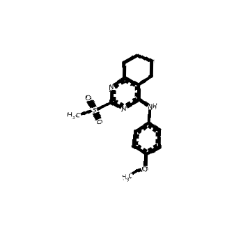 COc1ccc(Nc2nc(S(C)(=O)=O)nc3c2CCCC3)cc1